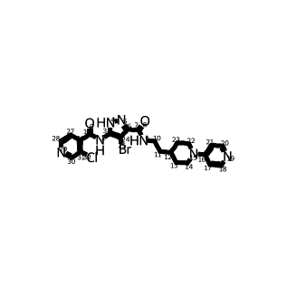 O=C(Nc1[nH]nc(C(=O)NCCC2CCN(c3ccncc3)CC2)c1Br)c1ccncc1Cl